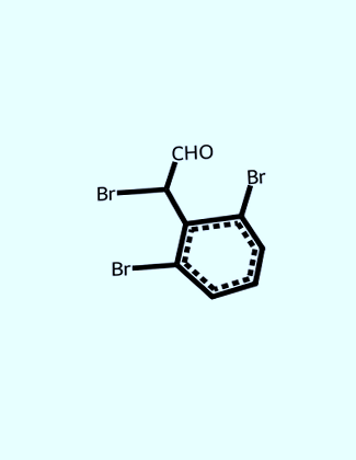 O=CC(Br)c1c(Br)cccc1Br